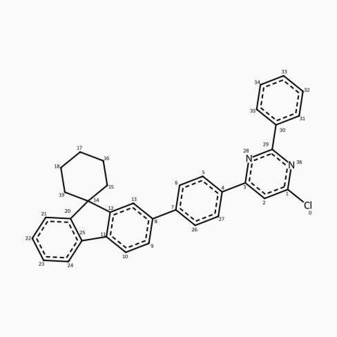 Clc1cc(-c2ccc(-c3ccc4c(c3)C3(CCCCC3)c3ccccc3-4)cc2)nc(-c2ccccc2)n1